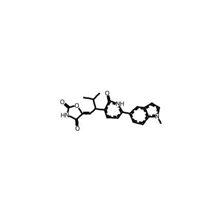 CC(C)C(/C=C1\OC(=O)NC1=O)c1ccc(-c2ccc3c(ccn3C)c2)[nH]c1=O